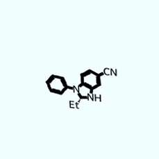 CC[C@H]1Nc2cc(C#N)ccc2N1c1ccccc1